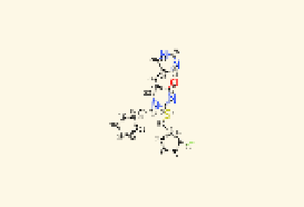 O=c1nc(SCc2cccc(F)c2)n(CCc2ccccc2)cc1Cc1cncnc1